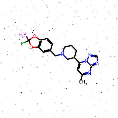 Cc1cc(C2CCCN(Cc3ccc4c(c3)OC(F)(P)O4)C2)n2ncnc2n1